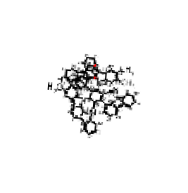 Cc1cc2c3ccc4c5ccccc5sc4c3n(-c3c(C#N)c(-c4cccc5c4sc4ccccc45)c(C#N)c(-n4c5cc(C)c(C)cc5c5ccc6c7ccccc7sc6c54)c3-c3cccc4c3sc3ccccc34)c2cc1C